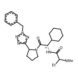 CCC(NC)C(=O)N[C@H](C(=O)N1CCCC1c1nnn(Cc2ccccc2)n1)C1CCCCC1